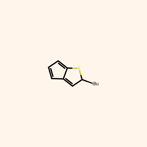 CCC(C)[C]1C=C2C=CC=C2S1